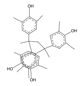 Cc1cc(C(C)(CC(C)(c2cc(C)c(O)c(C)c2)c2cc(C)c(O)c(C)c2)c2cc(C)c(O)c(C)c2)cc(C)c1O